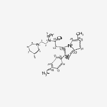 CCCN(CCN1CCCCC1)C(=O)Cc1c(-c2ccc(C)cc2)nc2ccc(C)cn12